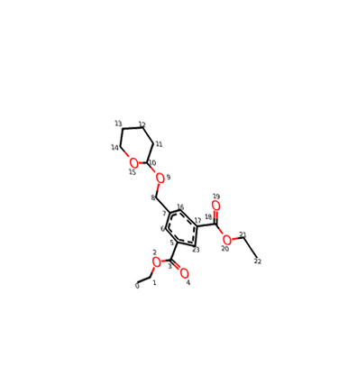 CCOC(=O)c1cc(COC2CCCCO2)cc(C(=O)OCC)c1